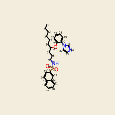 CCCCCCC(CCCNS(=O)(=O)c1ccc2ccccc2c1)Oc1ccccc1-n1ccnc1